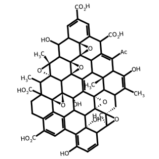 CC(=O)C1=C2C(C(=O)O)C3=CC(C(=O)O)=CC4C(O)C5[C@@]67O[C@]68C6=C9[C@]%10%11O[C@]%10%12C%10C%13c%14c(cc(C(=O)O)c%15c%14[C@@]%14%16O[C@@]%14(C8[C@@]8(O[C@]58C)C(C)C%16(C(=O)O)CC%15)[C@]9%13O)C5=C(O)C=CC([C@@]5%10O)[C@]5(C)O[C@]%125CC5C(C)=C(O)C1[C@@](C)(C6C2[C@]71O[C@]341)C5%11